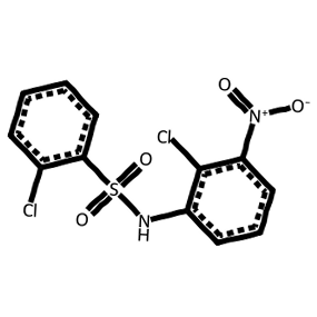 O=[N+]([O-])c1cccc(NS(=O)(=O)c2ccccc2Cl)c1Cl